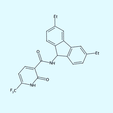 CCc1ccc2c(c1)-c1cc(CC)ccc1C2NC(=O)c1ccc(C(F)(F)F)[nH]c1=O